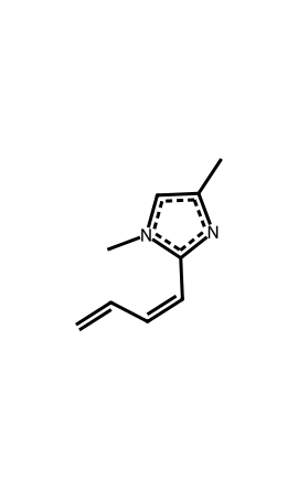 C=C/C=C\c1nc(C)cn1C